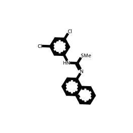 CSC(=Nc1cccc2ccccc12)Nc1cc(Cl)cc(Cl)c1